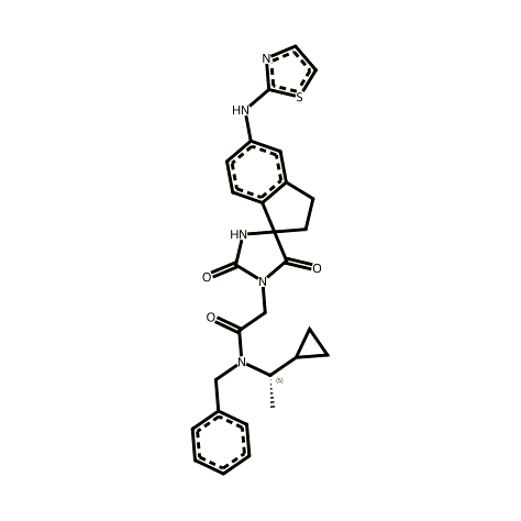 C[C@@H](C1CC1)N(Cc1ccccc1)C(=O)CN1C(=O)NC2(CCc3cc(Nc4nccs4)ccc32)C1=O